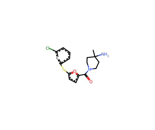 CC1(N)CCN(C(=O)c2ccc(Sc3cccc(Cl)c3)o2)CC1